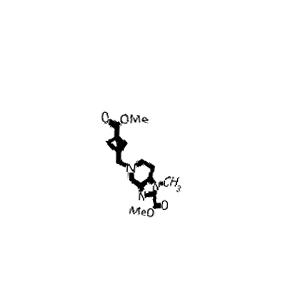 COC(=O)c1nc2c(n1C)CCN(CC13CC(C(=O)OC)(C1)C3)C2